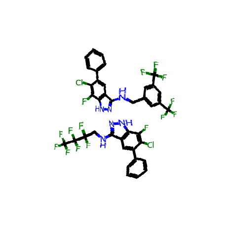 Fc1c(Cl)c(-c2ccccc2)cc2c(NCC(F)(F)C(F)(F)C(F)(F)F)n[nH]c12.Fc1c(Cl)c(-c2ccccc2)cc2c(NCc3cc(C(F)(F)F)cc(C(F)(F)F)c3)n[nH]c12